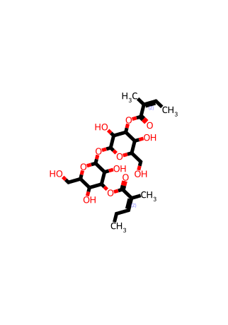 C/C=C(/C)C(=O)OC1C(O)C(CO)OC(OC2OC(CO)C(O)C(OC(=O)/C(C)=C\CC)C2O)C1O